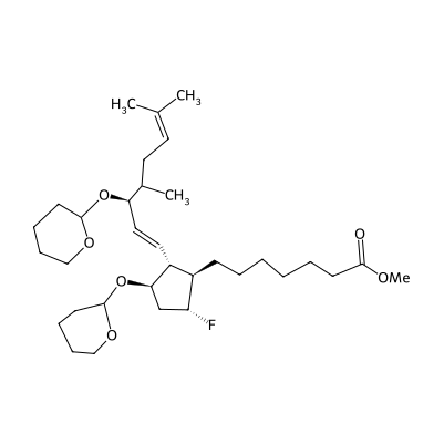 COC(=O)CCCCCC[C@@H]1[C@@H](/C=C/[C@@H](OC2CCCCO2)C(C)CC=C(C)C)[C@H](OC2CCCCO2)C[C@H]1F